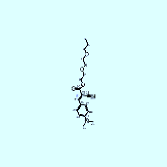 CCCOCCOCCOC(=O)/C(C#N)=C/c1ccc(N(C)C)cc1